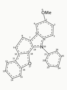 COc1ccc2c(c1)c1ccc3c4ccccc4oc3c1n2-c1ccccc1